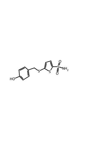 NS(=O)(=O)c1ccc(SCc2ccc(O)cc2)s1